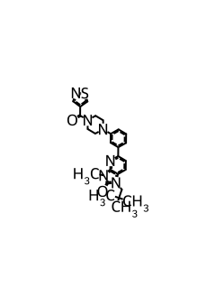 Cn1c(=O)n(CC(C)(C)C)c2ccc(-c3cccc(N4CCN(C(=O)c5cnsc5)CC4)c3)nc21